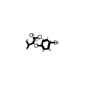 CC(C)C(Oc1ccc(Br)cc1)C(=O)Cl